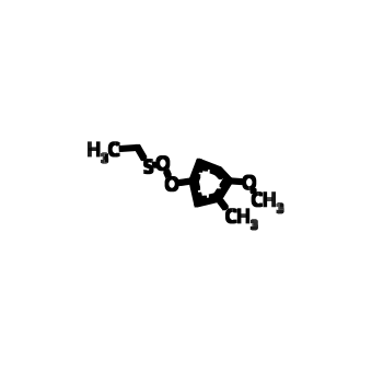 CCSOOc1ccc(OC)c(C)c1